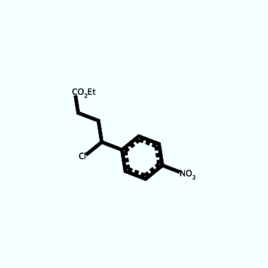 CCOC(=O)CCC(Cl)c1ccc([N+](=O)[O-])cc1